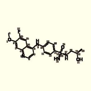 COc1cc2nccc(Nc3ccc([S@@](=N)(=O)NC[C@@H](C)O)cc3)c2cc1F